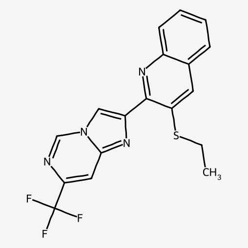 CCSc1cc2ccccc2nc1-c1cn2cnc(C(F)(F)F)cc2n1